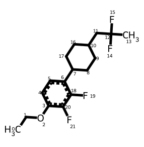 CCOc1ccc(C2CCC(CC(C)(F)F)CC2)c(F)c1F